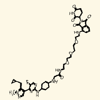 Cn1ncc(-c2nc(NC3CCC(NCC(=O)NCCOCCOCCOCCNc4cccc5c4C(=O)N(C4CCC(=O)NC4=O)C5=O)CC3)ncc2F)c1CC1CC1